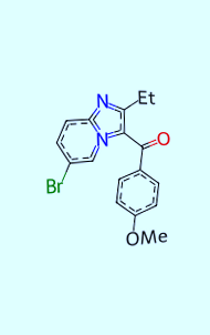 CCc1nc2ccc(Br)cn2c1C(=O)c1ccc(OC)cc1